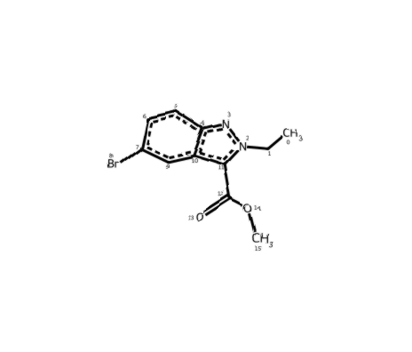 CCn1nc2ccc(Br)cc2c1C(=O)OC